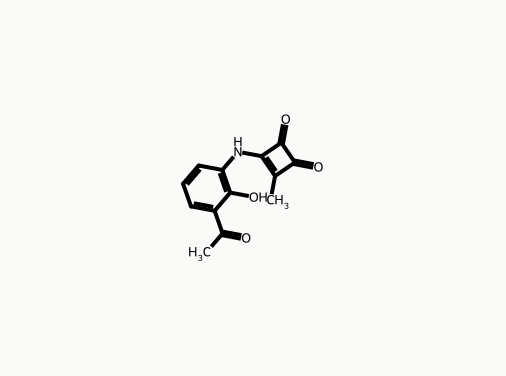 CC(=O)c1cccc(Nc2c(C)c(=O)c2=O)c1O